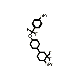 CCCc1ccc(C(F)(F)OC2CCC(C3CCC(CCC)C(F)(F)C3)CC2)cc1